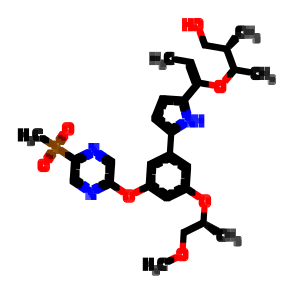 C/C=C(/OC(C)[C@H](C)CO)c1ccc(-c2cc(Oc3cnc(S(C)(=O)=O)cn3)cc(O[C@@H](C)COC)c2)[nH]1